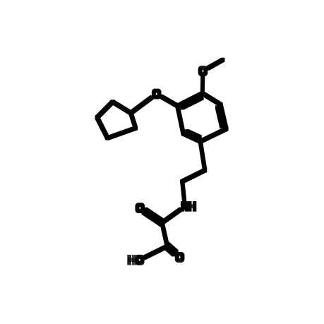 COc1ccc(CCNC(=O)C(=O)O)cc1OC1CCCC1